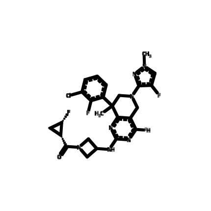 [2H]c1nc(NC2CN(C(=O)[C@@H]3C[C@@H]3F)C2)nc2c1CN(c1nn(C)cc1F)CC2(C)c1cccc(Cl)c1F